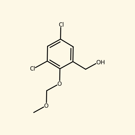 COCOc1c(Cl)cc(Cl)cc1CO